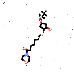 CC(C)(C)[Si](C)(C)OC1C=C(SCCCCCCC(=O)N2CCOCC2)C(=O)C1